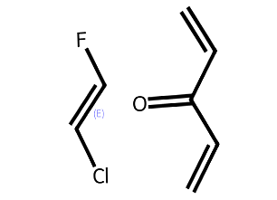 C=CC(=O)C=C.F/C=C/Cl